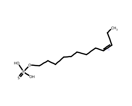 CC/C=C\CCCCCCCCOP(O)(O)=S